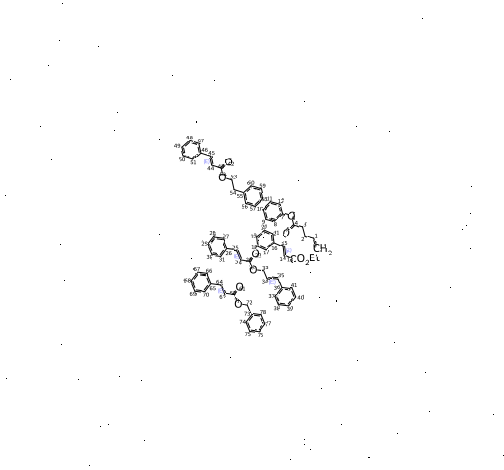 C=CCCC(=O)Oc1ccccc1.CCOC(=O)/C=C/c1ccccc1.O=C(/C=C/c1ccccc1)OC/C=C/c1ccccc1.O=C(/C=C/c1ccccc1)OCCc1ccccc1.O=C(/C=C/c1ccccc1)OCc1ccccc1